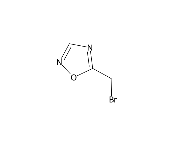 BrCc1ncno1